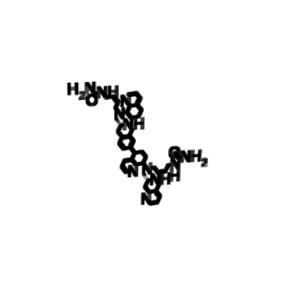 NC(=O)NC/C=C\CN(C[C@H]1Cc2ccc(C3CC[C@H](N(C/C=C\CNC(N)=O)C[C@H]4Cc5ncccc5CN4)c4ncccc43)cc2CN1)[C@H]1CCCc2cccnc21